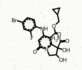 NC(=O)C1(O)c2c(C(=O)OCC3CC3)c(Nc3ccc(Br)cc3F)cc(=O)n2CC1O